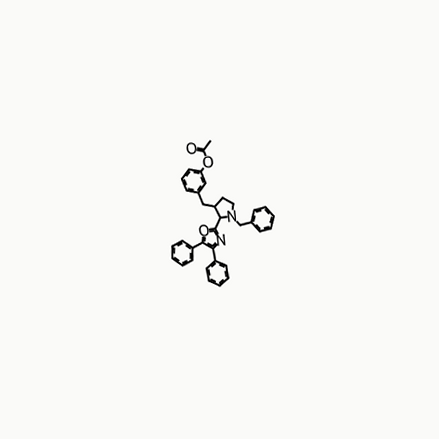 CC(=O)Oc1cccc(CC2CCN(Cc3ccccc3)C2c2nc(-c3ccccc3)c(-c3ccccc3)o2)c1